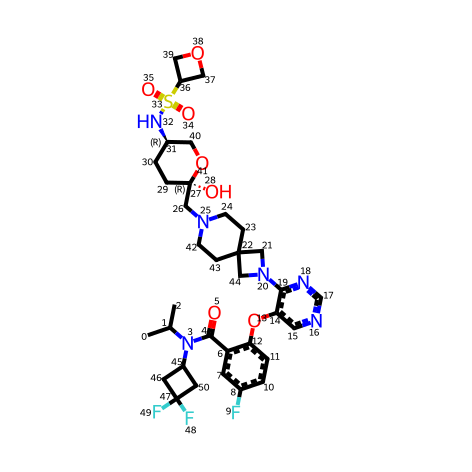 CC(C)N(C(=O)c1cc(F)ccc1Oc1cncnc1N1CC2(CCN(C[C@@]3(O)CC[C@@H](NS(=O)(=O)C4COC4)CO3)CC2)C1)C1CC(F)(F)C1